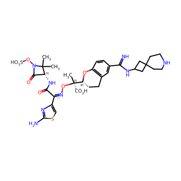 CC1(C)[C@H](NC(=O)/C(=N\O[C@](C)(C(=O)O)[C@H]2CCc3cc(C(=N)NC4CC5(CCNCC5)C4)ccc3O2)c2csc(N)n2)C(=O)N1OS(=O)(=O)O